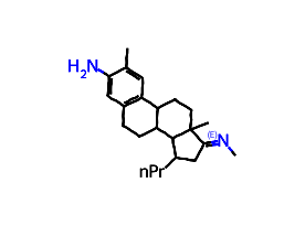 CCCC1C/C(=N\C)C2(C)CCC3c4cc(C)c(N)cc4CCC3C12